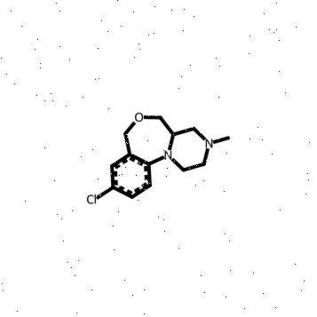 CN1CCN2c3ccc(Cl)cc3COCC2C1